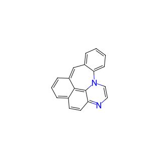 c1cc2ccc3nccn4c5ccccc5cc(c1)c2c34